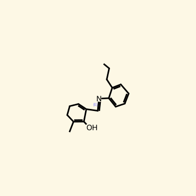 CCCc1ccccc1/N=C/C1=CCCC(C)=C1O